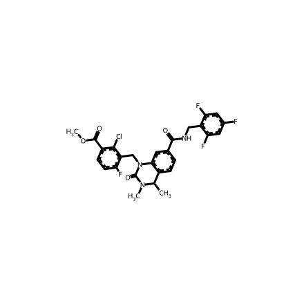 COC(=O)c1ccc(F)c(CN2C(=O)N(C)C(C)c3ccc(C(=O)NCc4c(F)cc(F)cc4F)cc32)c1Cl